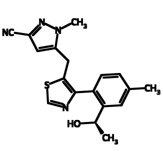 Cc1ccc(-c2ncsc2Cc2cc(C#N)nn2C)c([C@@H](C)O)c1